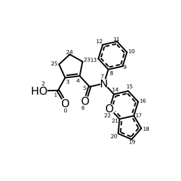 O=C(O)C1=C(C(=O)N(c2ccccc2)c2ccc3cccc-3o2)CCC1